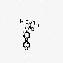 CN(C)C(=O)OC1C=CN(N2CCOCC2)C=N1